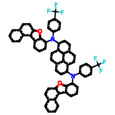 FC(F)(F)c1ccc(N(c2ccc3ccc4c(N(c5ccc(C(F)(F)F)cc5)c5cccc6c5oc5ccc7ccccc7c56)ccc5ccc2c3c54)c2cccc3c2oc2ccc4ccccc4c23)cc1